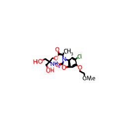 COCCOc1cc2oc(=O)n(C(C)C(=O)OCC(N)(CO)CO)c2cc1Cl